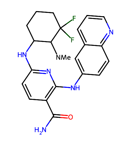 CNC1C(Nc2ccc(C(N)=O)c(Nc3ccc4ncccc4c3)n2)CCCC1(F)F